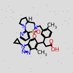 Cc1ccc(C(CC(=O)O)c2ccc3c(nnn3C3CC3)c2C)cc1CN1C[C@H]2CCCN2c2ncccc2S1(=O)=O